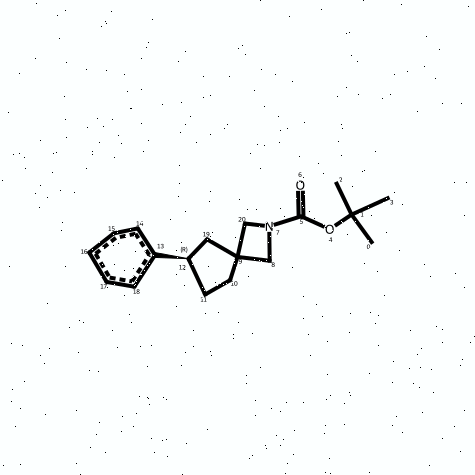 CC(C)(C)OC(=O)N1CC2(CC[C@@H](c3ccccc3)C2)C1